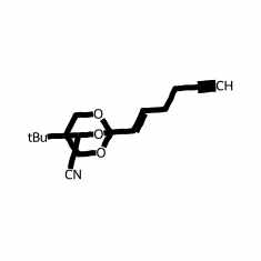 C#CCCC=CC12OCC(C(C)(C)C)(CO1)C(C#N)O2